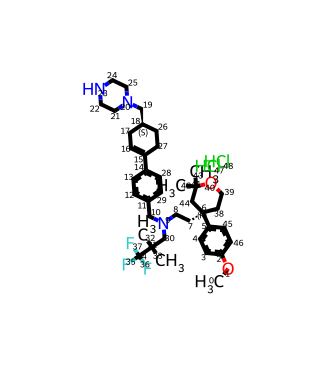 COc1ccc([C@]2(CCN(Cc3ccc(C4=CC[C@@H](CN5CCNCC5)CC4)cc3)CC(C)(C)C(F)(F)F)CCOC(C)(C)C2)cc1.Cl.Cl